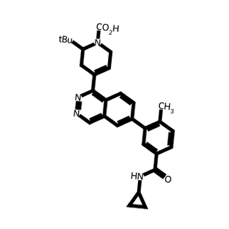 Cc1ccc(C(=O)NC2CC2)cc1-c1ccc2c(C3=CCN(C(=O)O)C(C(C)(C)C)C3)nncc2c1